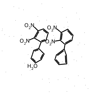 O.O=[N+]([O-])c1cccc(-c2ccccc2)c1[N+](=O)[O-].O=[N+]([O-])c1cccc(-c2ccccc2)c1[N+](=O)[O-]